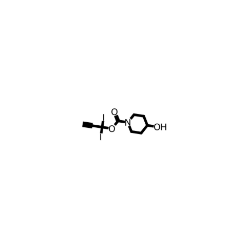 C#CC(I)(I)OC(=O)N1CCC(O)CC1